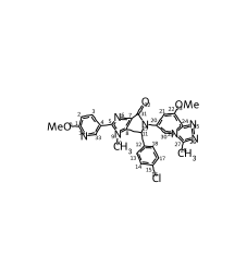 COc1ccc(-c2nc3c(n2C)C(c2ccc(Cl)cc2)N(c2cc(OC)c4nnc(C)n4c2)C3=O)cn1